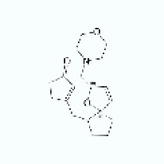 O=C1CCC2=C1[C@@]1(CN3CCOCC3)C=C[C@]3(CCCC3C2)O1